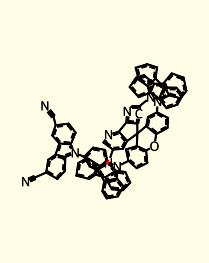 N#Cc1ccc2c(c1)c1cc(C#N)ccc1n2-c1ccc2c(c1)c1ccccc1n2-c1ccc2c(c1)C1(c3cc(-n4c5ccccc5c5ccccc54)ccc3O2)c2cc(-n3c4ccccc4c4ccccc43)cnc2-c2ncc(-n3c4ccccc4c4ccccc43)cc21